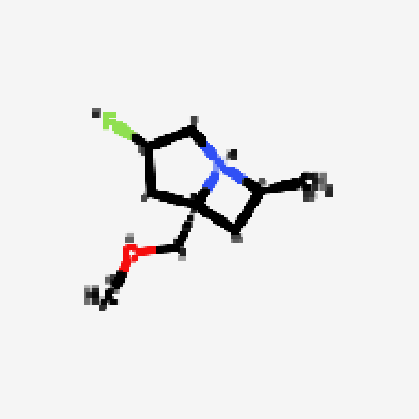 COC[C@]12C[C@@H](F)CN1[C@@H](C)C2